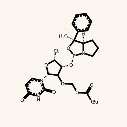 CC[C@H]1O[C@@H](n2ccc(=O)[nH]c2=O)C(OCOC(=O)C(C)(C)C)[C@H]1O[P@]1O[C@@](C)(c2ccccc2)[C@H]2CCCN21